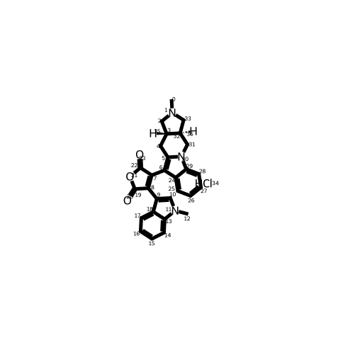 CN1C[C@H]2Cc3c(C4=C(c5cn(C)c6ccccc56)C(=O)OC4=O)c4ccccc4n3C[C@@H]2C1.Cl